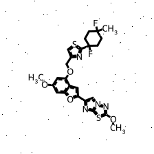 COc1cc(OCc2csc(C3(F)CCC(C)(F)CC3)n2)c2cc(-c3cn4nc(OC)sc4n3)oc2c1